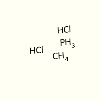 C.Cl.Cl.P